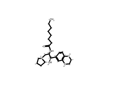 CCCCCCCC(=O)NC(CN1CCCC1)[C@H](O)c1ccc2c(c1)OCCO2